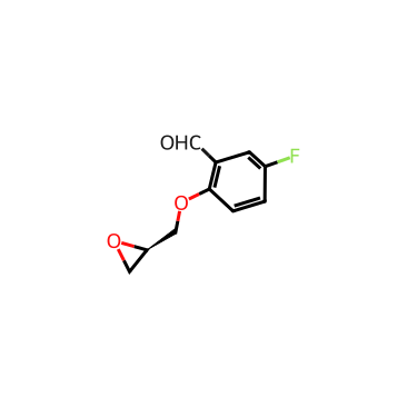 O=Cc1cc(F)ccc1OC[C@H]1CO1